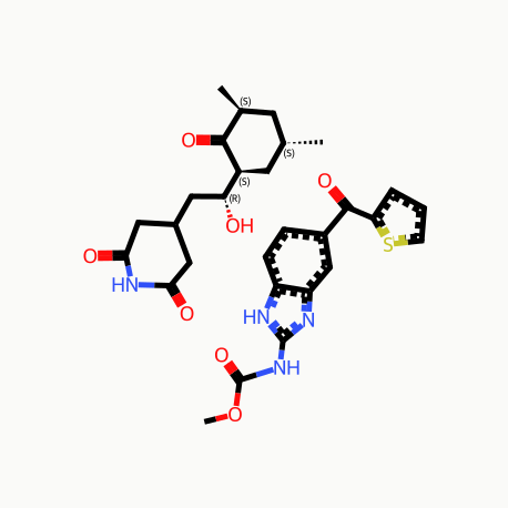 COC(=O)Nc1nc2cc(C(=O)c3cccs3)ccc2[nH]1.C[C@@H]1C[C@@H]([C@H](O)CC2CC(=O)NC(=O)C2)C(=O)[C@@H](C)C1